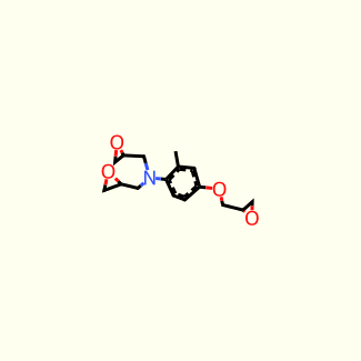 Cc1cc(OCC2CO2)ccc1N(CC1CO1)CC1CO1